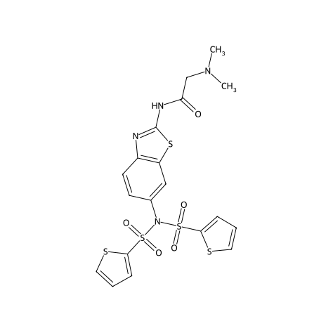 CN(C)CC(=O)Nc1nc2ccc(N(S(=O)(=O)c3cccs3)S(=O)(=O)c3cccs3)cc2s1